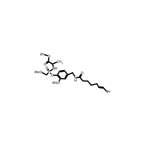 COCP(=O)(NC(C)C(=O)OC(C)C)Oc1ccc(CNC(=O)CCCC/C=C/C(C)C)cc1OC